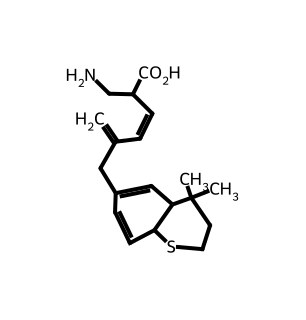 C=C(/C=C\C(CN)C(=O)O)CC1=CC2C(C=C1)SCCC2(C)C